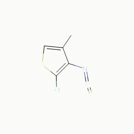 Cc1csc(Cl)c1N=C=S